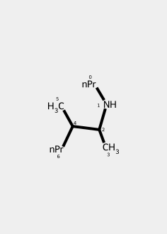 CCCNC(C)C(C)CCC